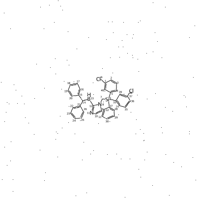 Clc1cccc([Si](Cn2ccnc2BC(c2ccccc2)c2ccccc2)(c2ccccc2)c2cccc(Cl)c2)c1